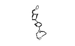 O=Cc1ccc(-c2ccc(N3CCOCC3)cc2)cc1